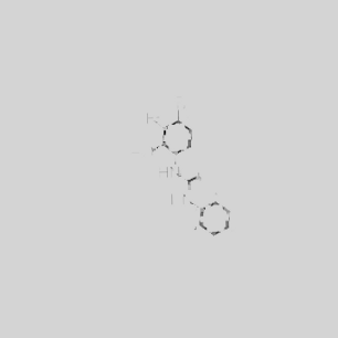 O=C(Nc1ccccc1)Nc1ccc(F)c(F)c1O